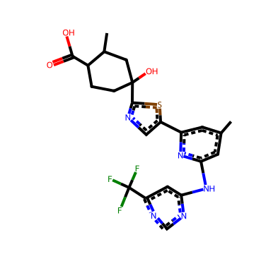 Cc1cc(Nc2cc(C(F)(F)F)ncn2)nc(-c2cnc(C3(O)CCC(C(=O)O)C(C)C3)s2)c1